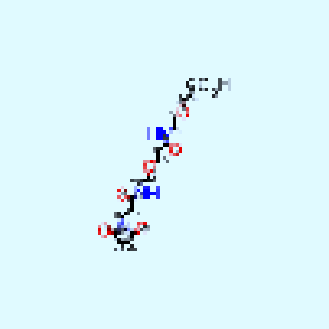 O=C(O)CCOCCNC(=O)CCOCCNC(=O)CCN1C(=O)C=CC1=O